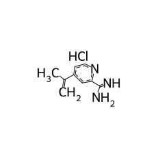 C=C(C)c1ccnc(C(=N)N)c1.Cl